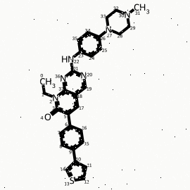 CCn1c(=O)c(-c2ccc(-c3ccsc3)cc2)cc2cnc(Nc3ccc(N4CCN(C)CC4)cc3)nc21